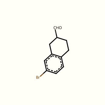 O=CC1CCc2ccc(Br)cc2C1